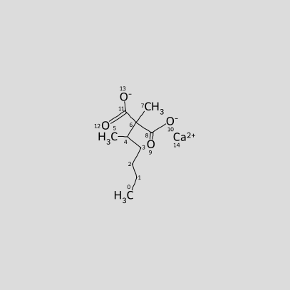 CCCCC(C)C(C)(C(=O)[O-])C(=O)[O-].[Ca+2]